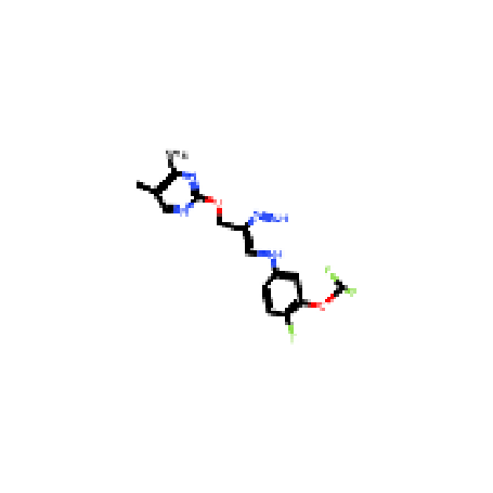 CNc1nc(OC/C(=C/Nc2ccc(F)c(OC(F)F)c2)N=N)ncc1C